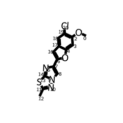 COc1cc2oc(-c3cn4nc(C)sc4n3)cc2cc1Cl